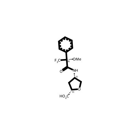 CO[C@@](C(=O)N[C@@H]1CO[C@H](C(=O)O)C1)(c1ccccc1)C(F)(F)F